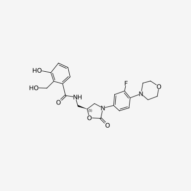 O=C(NC[C@H]1CN(c2ccc(N3CCOCC3)c(F)c2)C(=O)O1)c1cccc(O)c1CO